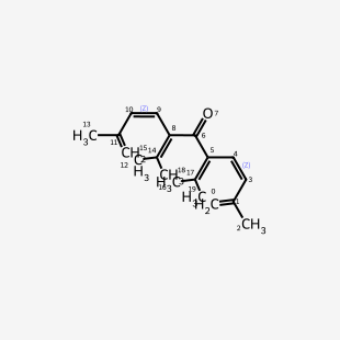 C=C(C)/C=C\C(C(=O)C(/C=C\C(=C)C)=C(C)C)=C(C)C